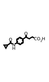 O=C(O)CCC(=O)c1ccc(NC(=O)C2CC2)cc1